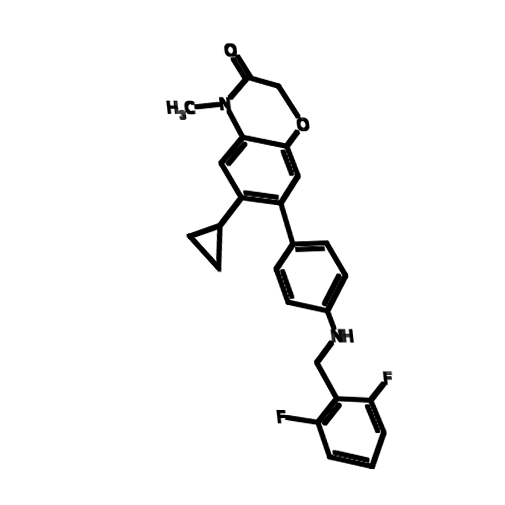 CN1C(=O)COc2cc(-c3ccc(NCc4c(F)cccc4F)cc3)c(C3CC3)cc21